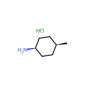 C[C@H]1CC[C@@H](N)CC1.Cl